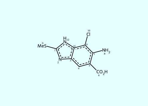 CSc1nc2cc(C(=O)O)c(N)c(Cl)c2[nH]1